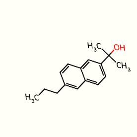 CCCc1ccc2cc(C(C)(C)O)ccc2c1